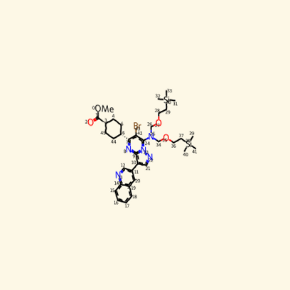 COC(=O)[C@H]1CC[C@H](c2nc3c(-c4cnc5ccccc5c4)cnn3c(N(COCC[Si](C)(C)C)COCC[Si](C)(C)C)c2Br)CC1